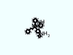 NC1(c2ccc(-c3c(C=Cc4ccccc4)nc4n3-c3cccnc3Nc3ccccc3-4)cc2)CCC1